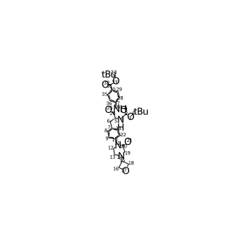 CC(C)(C)OC(=O)N[C@@H](Cc1ccc(N2CCN(C3COC3)CC2=O)cc1)C(=O)Nc1ccc(C(=O)OC(C)(C)C)cc1